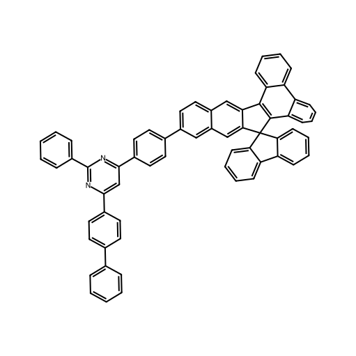 c1ccc(-c2ccc(-c3cc(-c4ccc(-c5ccc6cc7c(cc6c5)C5(c6ccccc6-c6ccccc65)c5c-7c6ccccc6c6ccccc56)cc4)nc(-c4ccccc4)n3)cc2)cc1